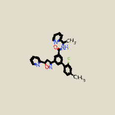 Cc1ccc(-c2cc(C(=O)NC(C)c3ccccn3)cc(C3=NOC(c4ccccn4)C3)c2)c(F)c1